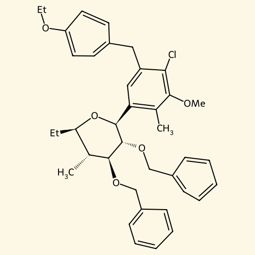 CCOc1ccc(Cc2cc([C@@H]3O[C@H](CC)[C@@H](C)[C@H](OCc4ccccc4)[C@H]3OCc3ccccc3)c(C)c(OC)c2Cl)cc1